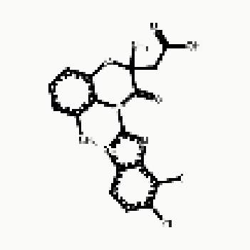 Cc1cccc2c1N(c1nc3c(Cl)c(Cl)ccc3s1)C(=O)C(C)(CC(=O)O)O2